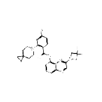 O=C(Nc1cccc2ncc(N3CC(F)(F)C3)nc12)c1ccc(Br)cc1N1CCC2(CC1)CC2